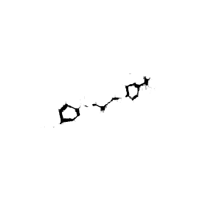 COc1ccc(NN=CC(=O)CSc2ccc(C(C)(C)C)cc2)cc1